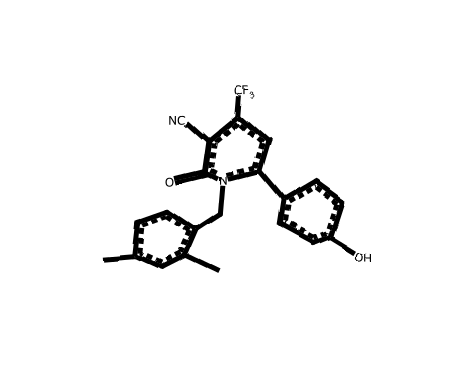 Cc1ccc(Cn2c(-c3ccc(O)cc3)cc(C(F)(F)F)c(C#N)c2=O)c(C)c1